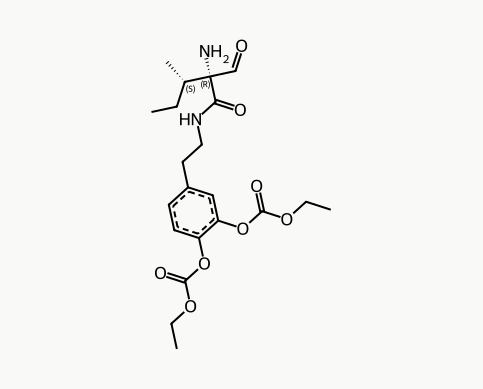 CCOC(=O)Oc1ccc(CCNC(=O)[C@](N)(C=O)[C@@H](C)CC)cc1OC(=O)OCC